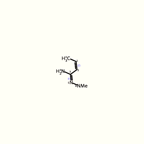 C/C=C\C(N)=N/NC